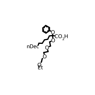 CCCCCCCCCCCCCCCC(OCCOCCOCCOCC)(Oc1ccccc1)C(=O)O